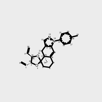 C=C[C@H]1OC2(CCCC3=Cc4c(cnn4-c4ccc(C)cc4)C[C@@]32C)O[C@@H]1C=C